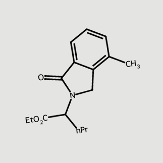 CCCC(C(=O)OCC)N1Cc2c(C)cccc2C1=O